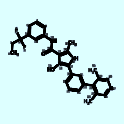 CCC(F)(F)c1cccc(NC(=O)c2c(C)[nH]c(-c3cccc(-c4c(C)cnnc4C)c3)[n+]2O)c1